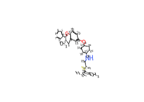 Cc1ccccc1C1CCc2cc(OC3CCC(NCCSC(C)C)CC3)ccc2O1